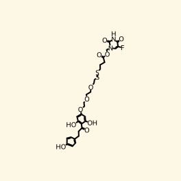 O=C(CCCSSCCOCCOCCOc1cc(O)c(C(=O)CCc2ccc(O)cc2)c(O)c1)OCn1cc(F)c(=O)[nH]c1=O